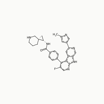 Cn1cc(-c2cc3c(cn2)[nH]c2ncc(F)c(-c4ccc(C(=O)N[C@H]5C[C@@]56CCCNC6)cc4)c23)cn1